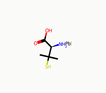 CC(C)(S)[C@H](N)C(=O)O.[Pb]